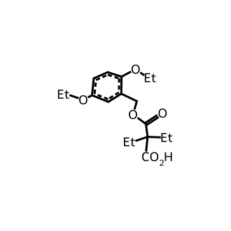 CCOc1ccc(OCC)c(COC(=O)C(CC)(CC)C(=O)O)c1